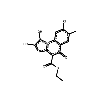 CCOC(=O)c1c(=O)c2cc(F)c(Cl)cc2n2c(O)c(O)sc12